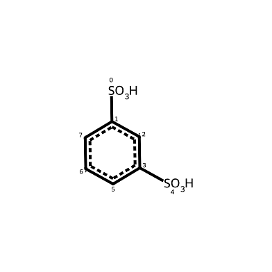 O=S(=O)(O)c1[c]c(S(=O)(=O)O)c[c]c1